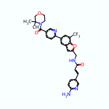 CC1(C)COCCN1C(=O)c1ccc(-c2cc(C(F)(F)F)c3oc(CNC(=O)C=Cc4ccc(N)nc4)cc3c2)nc1